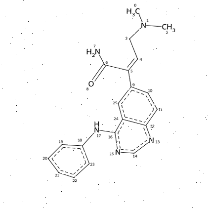 CN(C)CC=C(C(N)=O)c1ccc2ncnc(Nc3ccccc3)c2c1